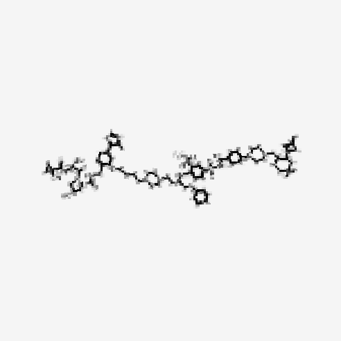 Cc1ncsc1-c1ccc(CNC(=O)[C@@H]2C[C@@H](O)CN2C(=O)[C@@H](NC(=O)C2(C#N)CC2)C(C)(C)C)c(OCCCCN2CCN(CC[C@H](CSc3ccccc3)Nc3ccc(S(=O)(=O)NC(=O)c4ccc(N5CCN(CC6=C(C78CC(C)(C7)C8)CC(C)(C)CC6)CC5)cc4)cc3S(=O)(=O)C(F)(F)F)CC2)c1